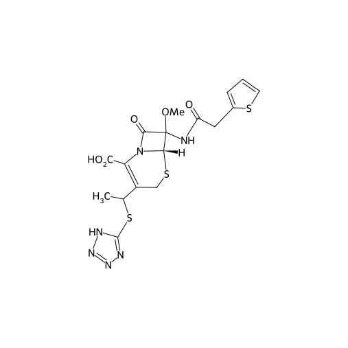 COC1(NC(=O)Cc2cccs2)C(=O)N2C(C(=O)O)=C(C(C)Sc3nnn[nH]3)CS[C@H]21